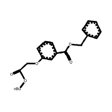 CCCCOC(=O)COc1cccc(C(=O)OCc2ccccc2)c1